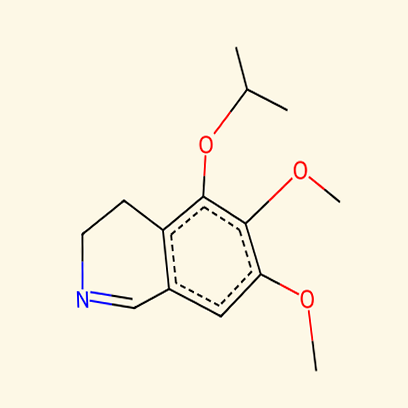 COc1cc2c(c(OC(C)C)c1OC)CCN=C2